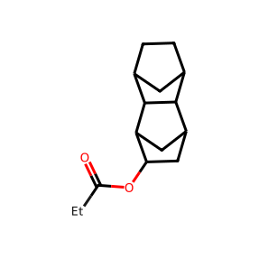 CCC(=O)OC1CC2CC1C1C3CCC(C3)C21